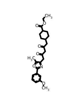 CCOC(=O)C1CCC(CC(=O)CC(=O)Cc2nc(-c3cccc(OC)c3)oc2C)CC1